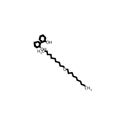 CCCCCCCCCCOCCCCCCCCCC.Oc1ccccc1.Oc1ccccc1